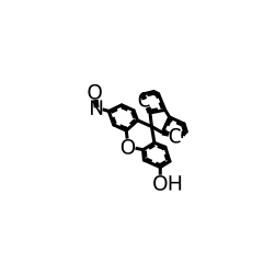 O=Nc1ccc2c(c1)Oc1cc(O)ccc1C21c2ccccc2-c2ccccc21